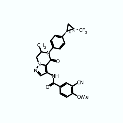 COc1ccc(C(=O)Nc2cnn3c2C(=O)N(c2ccc([C@H]4C[C@@H]4C(F)(F)F)cc2)C(C)C3)cc1C#N